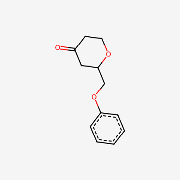 O=C1CCOC(COc2ccccc2)C1